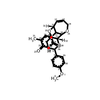 COc1ccc(C2OCC3O[C@@H]4C=CCOC(C4n4cc(C)c(=O)[nH]c4=O)[C@@H]3O2)cc1